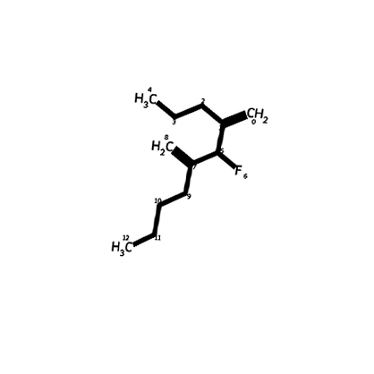 C=C(CCC)C(F)C(=C)CCCC